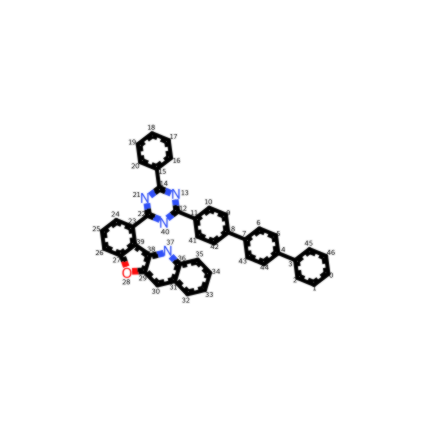 c1ccc(-c2ccc(-c3ccc(-c4nc(-c5ccccc5)nc(-c5cccc6oc7cc8ccccc8nc7c56)n4)cc3)cc2)cc1